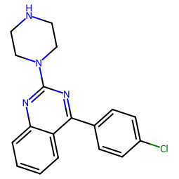 Clc1ccc(-c2nc(N3CCNCC3)nc3ccccc23)cc1